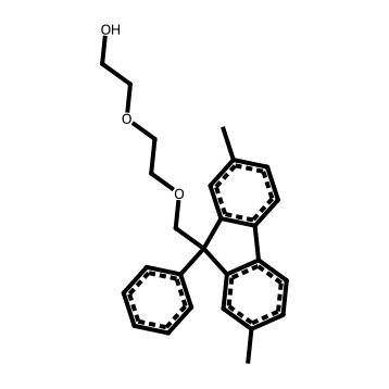 Cc1ccc2c(c1)C(COCCOCCO)(c1ccccc1)c1cc(C)ccc1-2